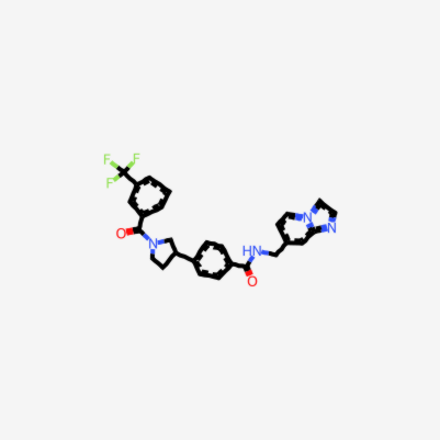 O=C(NCc1ccn2ccnc2c1)c1ccc(C2CCN(C(=O)c3cccc(C(F)(F)F)c3)C2)cc1